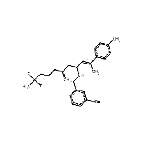 C=C(CCCC(C)(F)F)CC(/C=C(\C)c1ccc(C)cc1)NCc1cccc(C(C)CC)c1